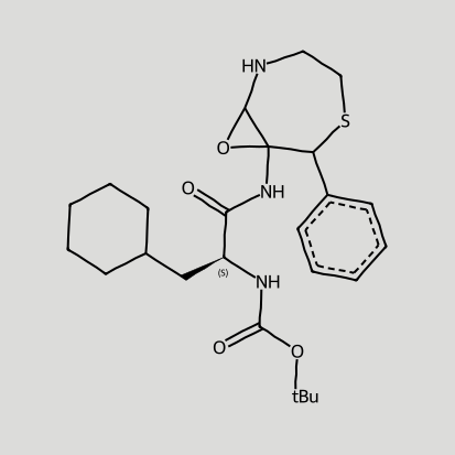 CC(C)(C)OC(=O)N[C@@H](CC1CCCCC1)C(=O)NC12OC1NCCSC2c1ccccc1